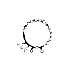 CC1=C(C)C(=O)OC(=O)CCCCCCCCCCCCCCC=C1